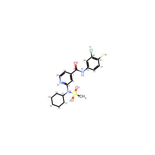 CS(=O)(=O)N(c1cc(C(=O)Nc2ccc(F)c(Cl)c2)ccn1)C1CCCCC1